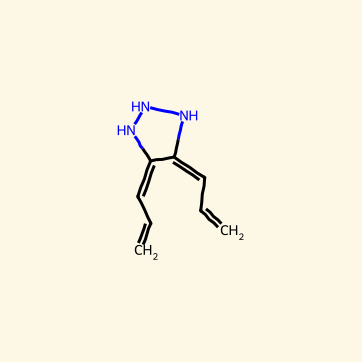 C=C/C=C1/NNN/C1=C/C=C